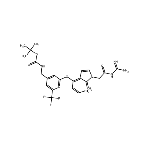 C=c1/c(=C(\C=C/C)Oc2cc(CNC(=O)OC(C)(C)C)cc(C(F)(F)F)n2)ccn1CC(=O)NC(=N)N